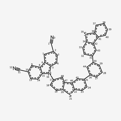 N#Cc1ccc2c(c1)c1cc(C#N)ccc1n2-c1ccc2sc3ccc(-c4cccc(-c5ccc6sc7ccccc7c6c5)c4)cc3c2c1